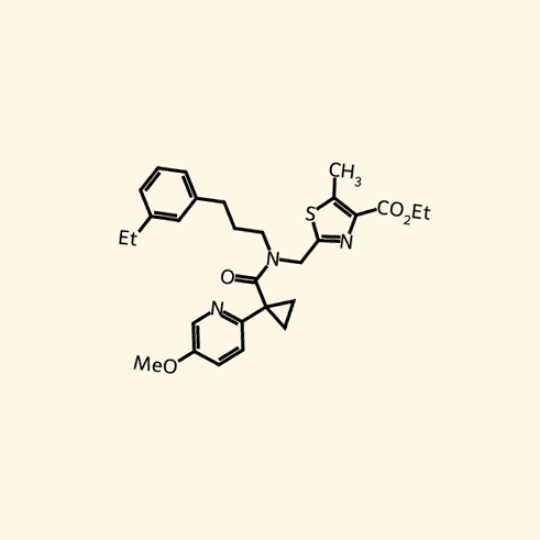 CCOC(=O)c1nc(CN(CCCc2cccc(CC)c2)C(=O)C2(c3ccc(OC)cn3)CC2)sc1C